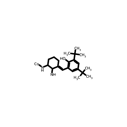 CC(C)(C)c1cc(C=C2CCCC([NH][Co])C2[NH])c(O)c(C(C)(C)C)c1